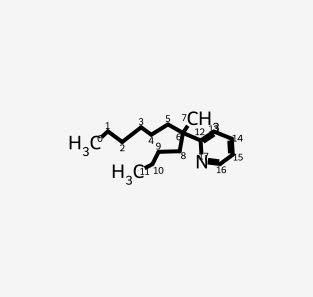 CCCCCCC(C)(CCCC)c1ccccn1